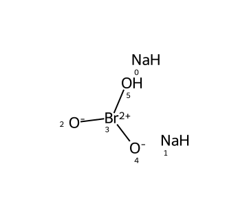 [NaH].[NaH].[O-][Br+2]([O-])O